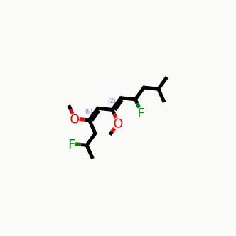 COC(=C\C(F)CC(C)C)/C=C(\CC(C)F)OC